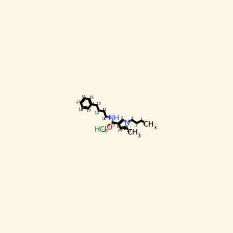 CCCCn1cc(C(=O)NCCCCc2ccccc2)cc1C.Cl